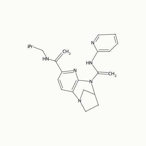 C=C(NCC(C)C)c1ccc2c(n1)N(C(=C)Nc1ccccn1)C1CCN2C1